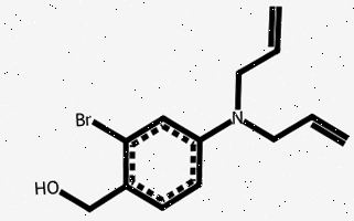 C=CCN(CC=C)c1ccc(CO)c(Br)c1